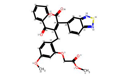 COC(=O)COc1cc(OC)ccc1CC(C(=O)c1ccccc1)=C(C(=O)O)c1ccc2nsnc2c1